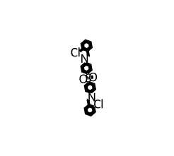 O=S(=O)(c1ccc(N=Cc2ccccc2Cl)cc1)c1ccc(N=Cc2ccccc2Cl)cc1